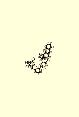 O=C1NC(=O)C(=Cc2ccnc(N3CCC(CNCc4cc5ccccc5nc4-c4ccco4)CC3)n2)S1